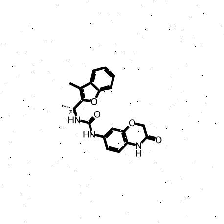 Cc1c([C@@H](C)NC(=O)Nc2ccc3c(c2)OCC(=O)N3)oc2ccccc12